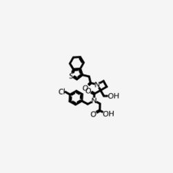 O=C(O)CN(Cc1ccc(Cl)cc1)C(=O)C1(CO)CCN1C(=O)Cc1csc2c1C=CCC2